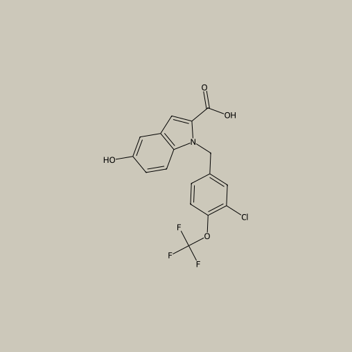 O=C(O)c1cc2cc(O)ccc2n1Cc1ccc(OC(F)(F)F)c(Cl)c1